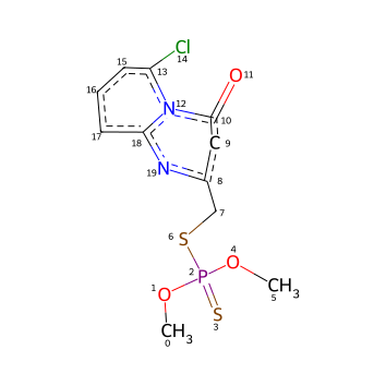 COP(=S)(OC)SCc1cc(=O)n2c(Cl)cccc2n1